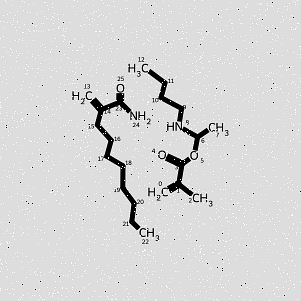 C=C(C)C(=O)OC(C)NCCCC.C=C(CCCCCCCC)C(N)=O